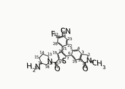 CN1Cc2ccc(-c3sc(C(=O)N4CCCC(N)C4)cc3-c3ccc(C#N)c(F)c3)cc2C1=O